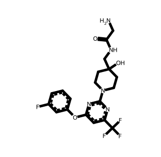 NCC(=O)NCC1(O)CCN(c2nc(Oc3cccc(F)c3)cc(C(F)(F)F)n2)CC1